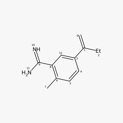 C=C(CC)c1ccc(C)c(C(=N)N)c1